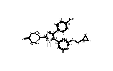 C=C1COC(c2nc(-c3ccc(F)cc3)c(-c3ccnc(NCC4CC4)n3)[nH]2)OC1